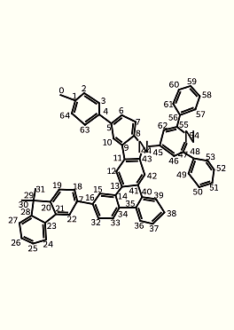 Cc1ccc(-c2ccc3c(c2)c2cc4c5cc(-c6ccc7c(c6)-c6ccccc6C7(C)C)ccc5c5ccccc5c4cc2n3-c2cc(-c3ccccc3)nc(-c3ccccc3)c2)cc1